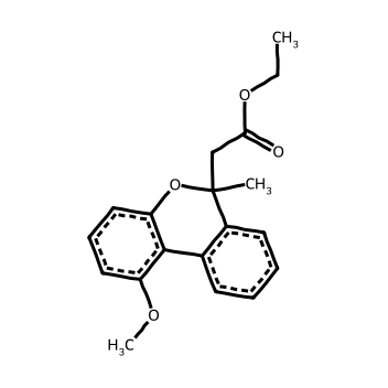 CCOC(=O)CC1(C)Oc2cccc(OC)c2-c2ccccc21